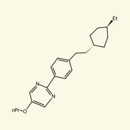 CCCOc1cnc(-c2ccc(CC[C@H]3CC[C@H](CC)CC3)cc2)nc1